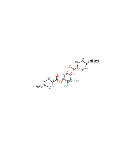 CCCCCCC1CCC(C(=O)Oc2ccc(OC(=O)C3CCC(CCCCCC)CC3)c(F)c2F)CC1